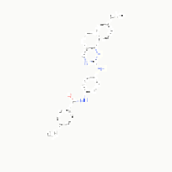 COc1ccc2c(c1)CCc1cnc(Nc3ccc(NC(=O)c4ccc([N+](=O)[O-])cc4)cc3)nc1-2